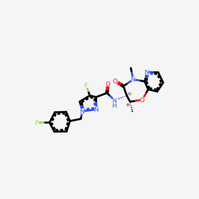 C[C@H]1Oc2cccnc2N(C)C(=O)[C@H]1NC(=O)c1nn(Cc2ccc(F)cc2)cc1F